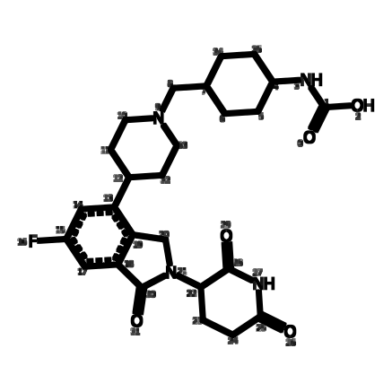 O=C(O)NC1CCC(CN2CCC(c3cc(F)cc4c3CN(C3CCC(=O)NC3=O)C4=O)CC2)CC1